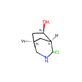 Cl.O[C@@H]1C[C@@H]2CNC[C@H]1C2